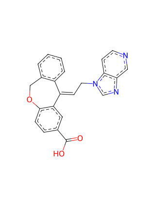 O=C(O)c1ccc2c(c1)/C(=C/Cn1cnc3cnccc31)c1ccccc1CO2